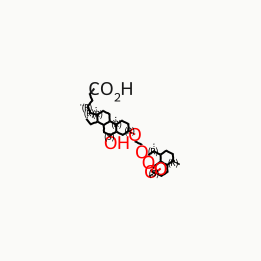 C[C@H]1C(OCCO[C@@H]2CC[C@]3(C)C4CC[C@@]5(C)C(CC[C@@H]5[C@H](C)CCC(=O)O)C4C[C@H](O)C3C2)OC2O[C@@]3(C)CCC4[C@H](C)CCC1C24O3